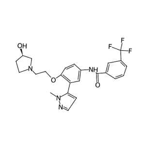 Cn1nccc1-c1cc(NC(=O)c2cccc(C(F)(F)F)c2)ccc1OCCN1CC[C@@H](O)C1